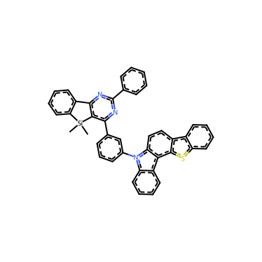 C[Si]1(C)c2ccccc2-c2nc(-c3ccccc3)nc(-c3cccc(-n4c5ccccc5c5c6sc7ccccc7c6ccc54)c3)c21